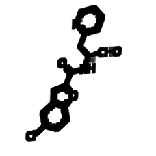 O=C[C@H](Cc1ccccn1)NC(=O)c1cc2cc(Cl)ccc2o1